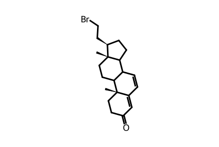 C[C@]12CCC(=O)C=C1C=CC1C2CC[C@@]2(C)C1CC[C@@H]2CCBr